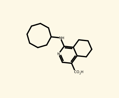 O=C(O)c1cnc(NC2CCCCCCC2)c2c1CCCC2